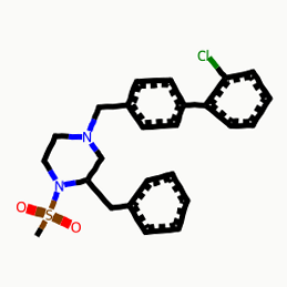 CS(=O)(=O)N1CCN(Cc2ccc(-c3ccccc3Cl)cc2)CC1Cc1ccccc1